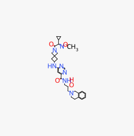 CON=C(C(=O)N1CC2(CC(Nc3cc(C(=O)NC[C@H](O)CN4CCc5ccccc5C4)ncn3)C2)C1)C1CC1